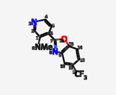 CNc1cnccc1-c1nc2cc(C(F)(F)F)ccc2o1